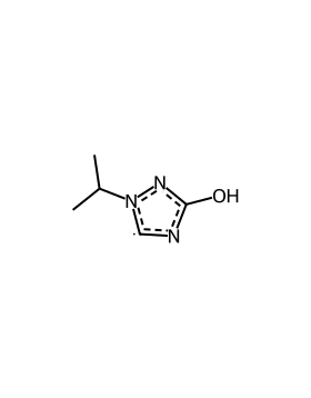 CC(C)n1[c]nc(O)n1